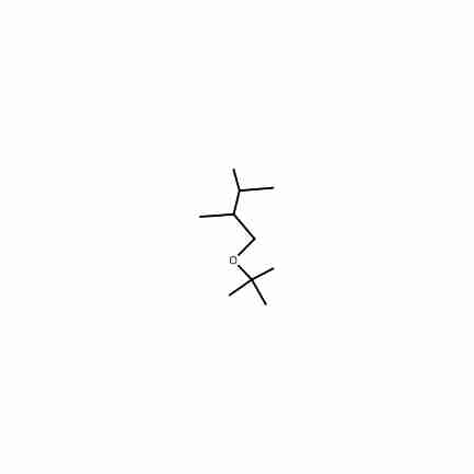 CC(C)C(C)COC(C)(C)C